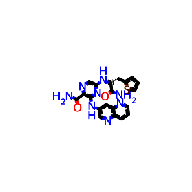 NC(=O)c1ncc(N[C@H](Cc2cccs2)C(N)=O)nc1Nc1cnc2cccnc2c1